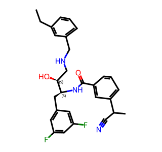 CCc1cccc(CNC[C@H](O)[C@H](Cc2cc(F)cc(F)c2)NC(=O)c2cccc(C(C)C#N)c2)c1